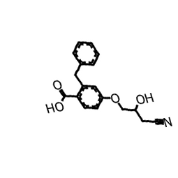 N#CCC(O)COc1ccc(C(=O)O)c(Cc2ccccc2)c1